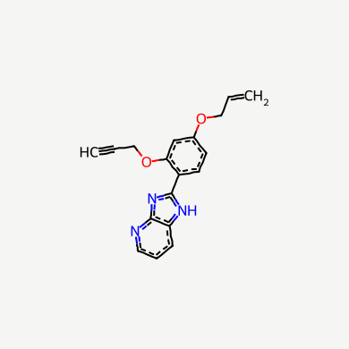 C#CCOc1cc(OCC=C)ccc1-c1nc2ncccc2[nH]1